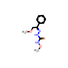 COCC(=NNC(=S)NOC)c1ccccc1